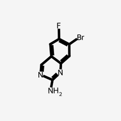 Nc1ncc2cc(F)c(Br)cc2n1